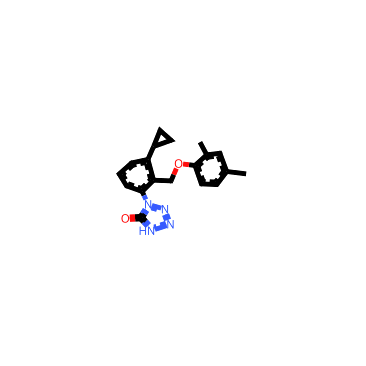 Cc1ccc(OCc2c(C3CC3)cccc2-n2nn[nH]c2=O)c(C)c1